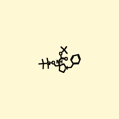 CC(C)(C)OC(=O)NC1(CO[Si](C)(C)C(C)(C)C)CCN(Cc2ccccc2)C1